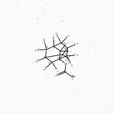 CCC(C)C(=O)OC12C(F)(F)C3(F)C(F)(F)C(F)(C(F)(F)C(F)(C3(F)F)C1(F)F)C2(F)F